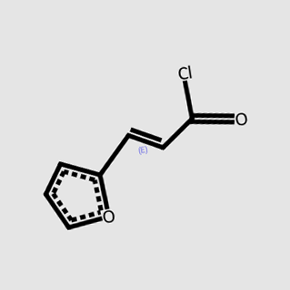 O=C(Cl)/C=C/c1ccco1